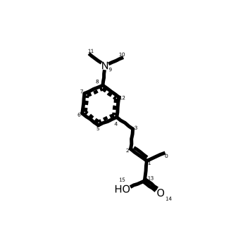 C/C(=C\Cc1cccc(N(C)C)c1)C(=O)O